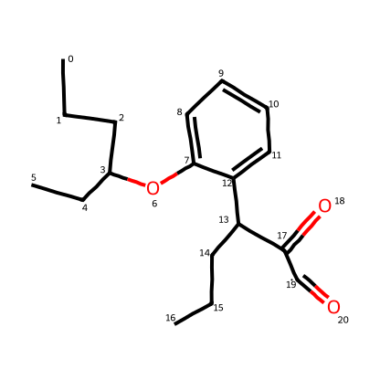 CCCC(CC)Oc1ccccc1C(CCC)C(=O)[C]=O